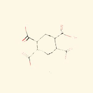 O=C(O)C1CC(C(=O)O)C(C(=O)O)CC1C(=O)O.[Na]